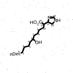 CCCCCCCCCCCCCCC(O)CCCCC(C(=O)O)C1CNC=N1